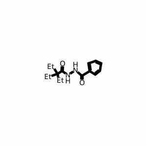 CCC(CC)(CC)C(=O)NNC(=O)c1ccccc1